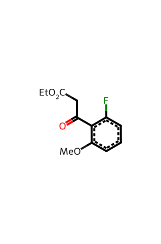 CCOC(=O)CC(=O)c1c(F)cccc1OC